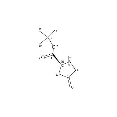 C=C1CN[C@H](C(=O)OC(C)(C)C)C1